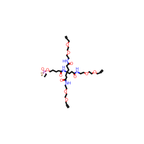 C#CCOCCOCCNC(=O)CCC(CCC(=O)NCCOCCOCC#C)(CCC(=O)NCCOCCOCC#C)NC(=O)CCCCOP(=O)(CC)SC